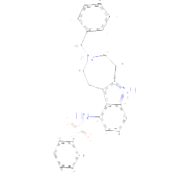 O=S(=O)(Nc1cccc2[nH]c3c(c12)CCN(Cc1ccccc1)CC3)c1ccccc1